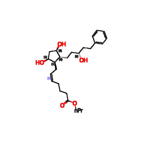 CCCOC(=O)CCC/C=C\C[C@@H]1[C@@H](CC[C@@H](O)CCc2ccccc2)[C@H](O)C[C@@H]1O